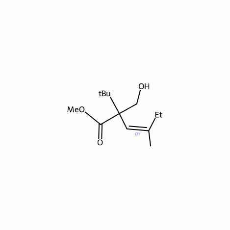 CC/C(C)=C\C(CO)(C(=O)OC)C(C)(C)C